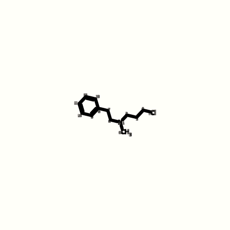 CN(CCCCl)CCc1ccccc1